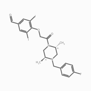 C[C@@H]1CN(Cc2ccc(F)cc2)[C@@H](C)CN1C(=O)COc1c(I)cc(C=O)cc1I